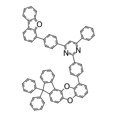 c1ccc(-c2cc(-c3ccc(-c4cccc5c4oc4ccccc45)cc3)nc(-c3ccc(-c4cccc5c4Oc4c(ccc6c4-c4ccccc4C6(c4ccccc4)c4ccccc4)O5)cc3)n2)cc1